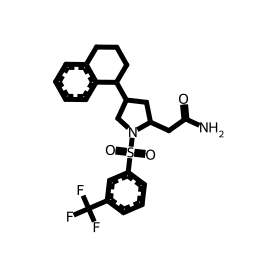 NC(=O)CC1CC(C2CCCc3ccccc32)CN1S(=O)(=O)c1cccc(C(F)(F)F)c1